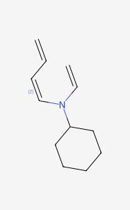 C=C/C=C\N(C=C)C1CCCCC1